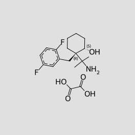 CC(C)(N)[C@]1(Cc2cc(F)ccc2F)CCCC[C@@H]1O.O=C(O)C(=O)O